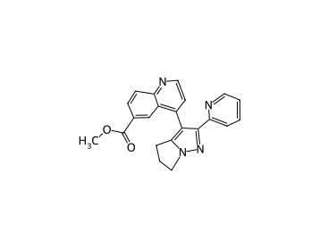 COC(=O)c1ccc2nccc(-c3c(-c4ccccn4)nn4c3CCC4)c2c1